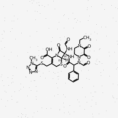 CCN1CCN(N(C=O)C(C(=O)N[C@]2(NC=O)C(=O)N3C(C(=O)O)=C(CSc4nnnn4C)CS[C@H]32)c2ccccc2)C(=O)C1=O